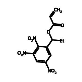 C=CC(=O)OC(CC)c1cc([N+](=O)[O-])cc([N+](=O)[O-])c1[N+](=O)[O-]